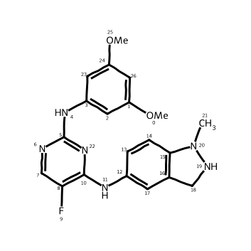 COc1cc(Nc2ncc(F)c(Nc3ccc4c(c3)CNN4C)n2)cc(OC)c1